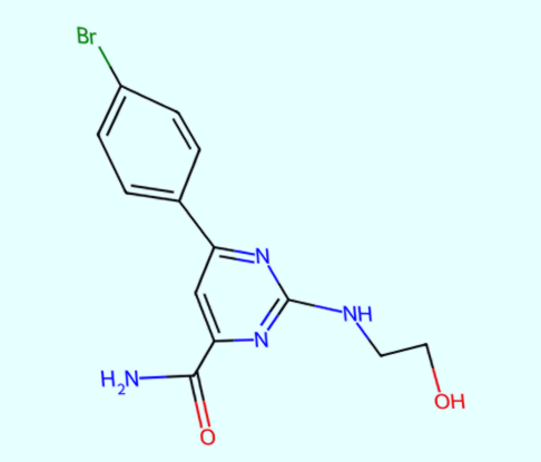 NC(=O)c1cc(-c2ccc(Br)cc2)nc(NCCO)n1